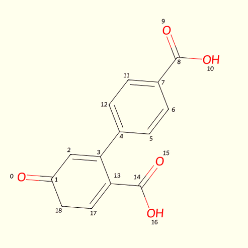 O=C1C=C(c2ccc(C(=O)O)cc2)C(C(=O)O)=CC1